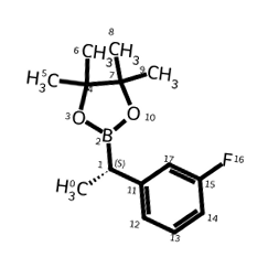 C[C@H](B1OC(C)(C)C(C)(C)O1)c1cccc(F)c1